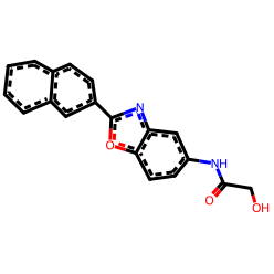 O=C(CO)Nc1ccc2oc(-c3ccc4ccccc4c3)nc2c1